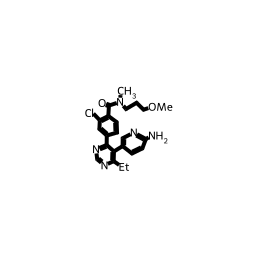 CCc1ncnc(-c2ccc(C(=O)N(C)CCCOC)c(Cl)c2)c1-c1ccc(N)nc1